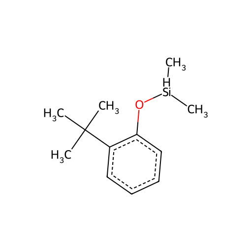 C[SiH](C)Oc1ccccc1C(C)(C)C